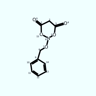 O=C1CC(=O)ON(OCc2ccccc2)O1